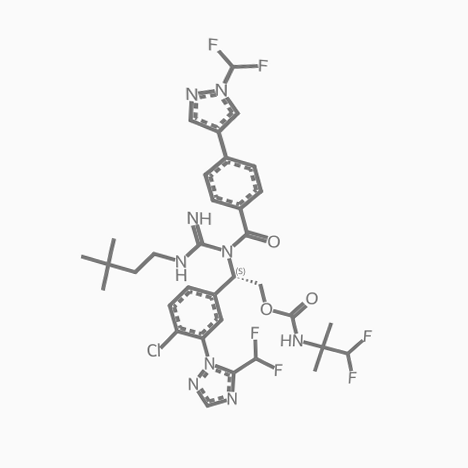 CC(C)(C)CCNC(=N)N(C(=O)c1ccc(-c2cnn(C(F)F)c2)cc1)[C@H](COC(=O)NC(C)(C)C(F)F)c1ccc(Cl)c(-n2ncnc2C(F)F)c1